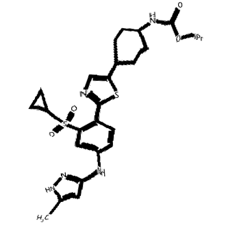 Cc1cc(Nc2ccc(-c3ncc(C4CCC(NC(=O)OC(C)C)CC4)s3)c(S(=O)(=O)C3CC3)c2)n[nH]1